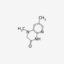 Cc1cnc2c(c1)N(C)CC(=O)N2